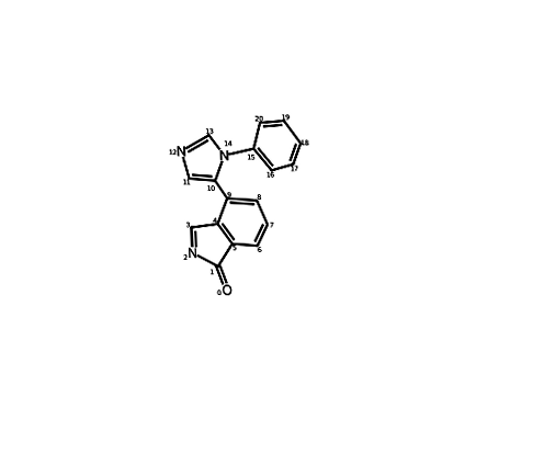 O=C1N=Cc2c1cccc2-c1cncn1-c1ccccc1